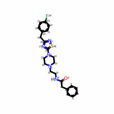 O=C(Cc1ccccc1)NCCN1CCN(c2nc(Cc3ccc(F)cc3)ns2)CC1